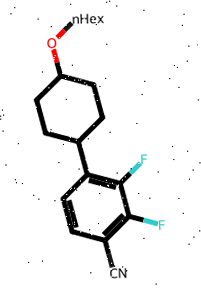 CCCCCCOC1CCC(c2ccc(C#N)c(F)c2F)CC1